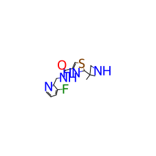 CC1(C2NC(C(=O)NCc3ncccc3F)=CS2)CNC1